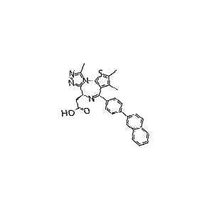 Cc1sc2c(c1C)C(c1ccc(-c3ccc4ccccc4c3)cc1)=N[C@@H](CC(=O)O)c1nnc(C)n1-2